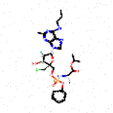 CCCNc1nc(C)nc2c1ncn2[C@@H]1O[C@](CCl)(CO[P@@](=O)(N[C@@H](C)C(=O)OC(C)C)Oc2ccccc2)[C@@H](O)[C@H]1F